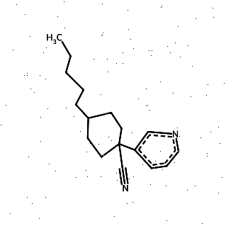 CCCCCC1CCC(C#N)(c2cccnc2)CC1